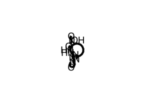 O=CN(O)C[C@H]1CCCCCCCCc2nc(nc(N3CCOCC3)n2)NNC1=O